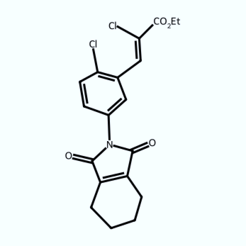 CCOC(=O)/C(Cl)=C/c1cc(N2C(=O)C3=C(CCCC3)C2=O)ccc1Cl